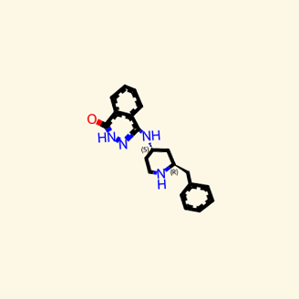 O=c1[nH]nc(N[C@H]2CCN[C@H](Cc3ccccc3)C2)c2ccccc12